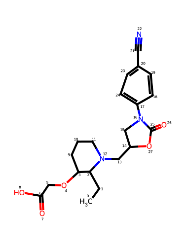 CCC1C(OCC(=O)O)CCCN1CC1CN(c2ccc(C#N)cc2)C(=O)O1